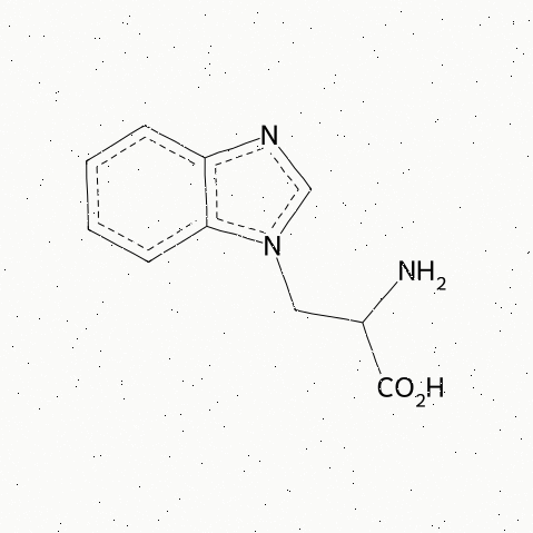 NC(Cn1cnc2ccccc21)C(=O)O